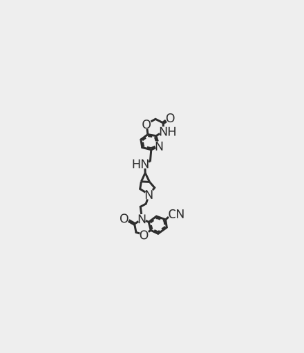 N#Cc1ccc2c(c1)N(CCN1CC3C(C1)C3NCc1ccc3c(n1)NC(=O)CO3)C(=O)CO2